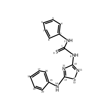 S=C(Nc1ccccc1)Nc1nsc(Nc2ccccc2)n1